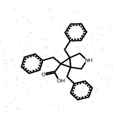 O=C(O)C1(Cc2ccccc2)C2(Cc3ccccc3)CNCC21Cc1ccccc1